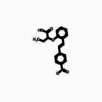 CCC(Oc1ccccc1C=Cc1ccc([N+](=O)[O-])cc1)C(=O)O